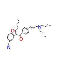 CCCCc1oc2ccc(C#N)cc2c1C(=O)c1ccc(C=CCN(CCCC)CCCC)cc1